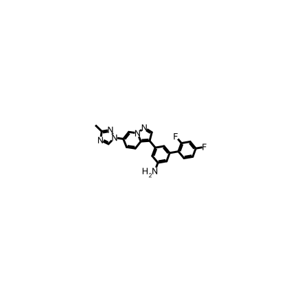 Cc1ncn(-c2ccc3c(-c4cc(N)cc(-c5ccc(F)cc5F)c4)cnn3c2)n1